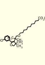 CC(C)(COCCCCCCCCCCC(=O)O)C1=C(c2cccc(O)c2)OCC1(C)C